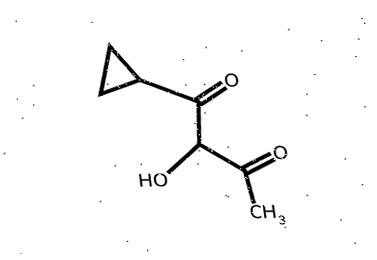 CC(=O)C(O)C(=O)C1CC1